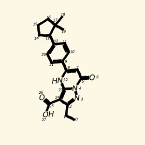 CCc1nn2c(=O)cc(-c3ccc(C4CCCC4(C)C)cc3)[nH]c2c1C(=O)O